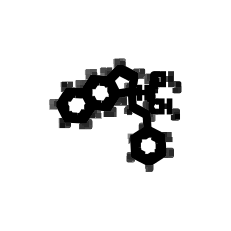 [CH3][Hf]([CH3])[C]1(CCc2ccccc2)C=Cc2cc3ccccc3cc21